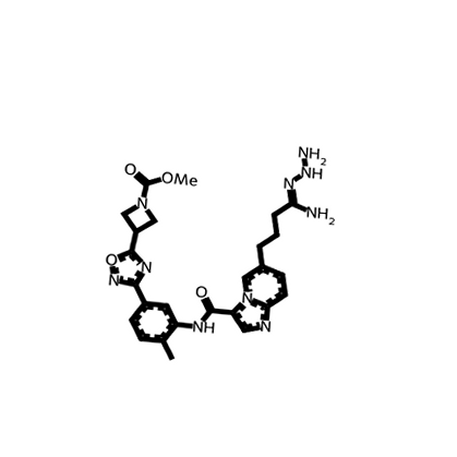 COC(=O)N1CC(c2nc(-c3ccc(C)c(NC(=O)c4cnc5ccc(CCC/C(N)=N/NN)cn45)c3)no2)C1